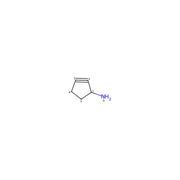 NC1C#CCC1